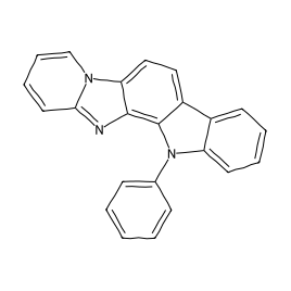 c1ccc(-n2c3ccccc3c3ccc4c(nc5ccccn54)c32)cc1